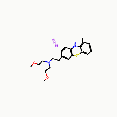 COCCN(CCOC)CCc1ccc2c(c1)Sc1cccc(C)c1N2.I.I.I